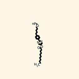 C=CCCCCCCCCC(=O)Oc1cnc(-c2ccc(CCCCCOCCC)cc2)nc1